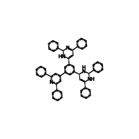 C1=C(c2cc(-c3cc(-c4ccccc4)nc(-c4ccccc4)c3)cc(C3C=C(c4ccccc4)NC(c4ccccc4)N3)c2)NC(c2ccccc2)N=C1c1ccccc1